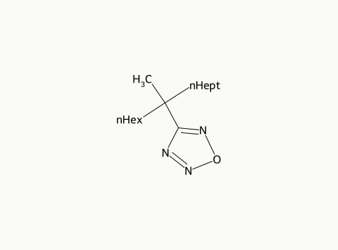 CCCCCCCC(C)(CCCCCC)c1nnon1